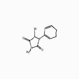 CC(C)C1C(=O)N(C(C)C)C(=O)N1C1=CCCC=C1